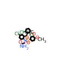 COc1ccc(S(=O)(=O)N(CC(N)=O)c2ccc(Cl)cc2Cc2c(Cl)cccc2Cl)cc1OC